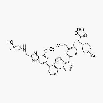 CCOc1cc(-c2nccc(-c3cccc(-c4ccc(CN(C(=O)OC(C)(C)C)C5CCN(C(C)=O)CC5)c(OC)n4)c3Cl)c2Cl)cn2nc(CNC3CC(C)(O)C3)nc12